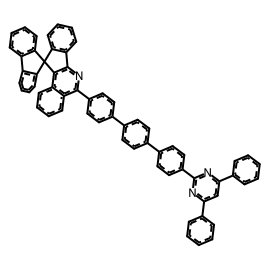 c1ccc(-c2cc(-c3ccccc3)nc(-c3ccc(-c4ccc(-c5ccc(-c6nc7c(c8ccccc68)C6(c8ccccc8-c8ccccc86)c6ccccc6-7)cc5)cc4)cc3)n2)cc1